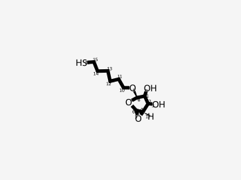 OC1C(O)[C@H]2OC2O[C@H]1OCCCCCCS